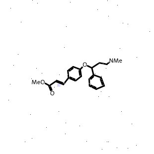 CNCCC(Oc1ccc(/C=C/C(=O)OC)cc1)c1ccccc1